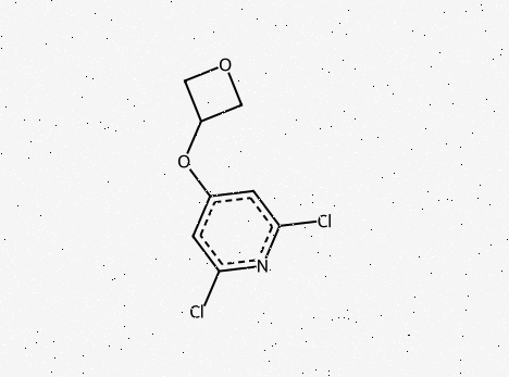 Clc1cc(OC2COC2)cc(Cl)n1